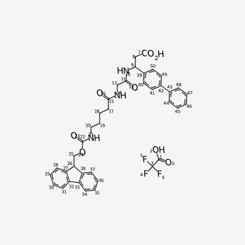 O=C(O)C(F)(F)F.O=C(O)CC(NC(=O)CNC(=O)CCCCNC(=O)OCC1c2ccccc2-c2ccccc21)c1ccc(-c2ccccc2)cc1